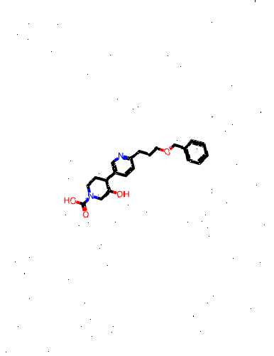 O=C(O)N1CCC(c2ccc(CCCOCc3ccccc3)nc2)C(O)C1